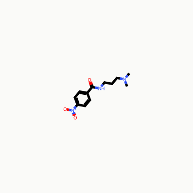 CN(C)CCCNC(=O)c1ccc([N+](=O)[O-])cc1